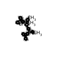 CC1=CC(C)C(N(C2=CC=C(c3ccc(N(c4ccc(C)cc4)c4ccc5c(c4)c4ccccc4n5-c4ccccc4)cc3)CC2)c2ccc3c(c2)c2ccccc2n3C2=CC=CCC2C)C=C1